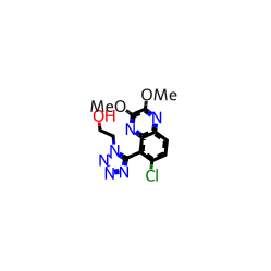 COc1nc2ccc(Cl)c(-c3nnnn3CCO)c2nc1OC